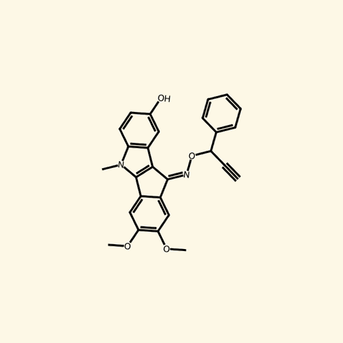 C#CC(ON=C1c2cc(OC)c(OC)cc2-c2c1c1cc(O)ccc1n2C)c1ccccc1